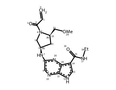 C=CC(=O)N1C[C@H](Nc2cnc3[nH]cc(C(=O)NCC)c3n2)C[C@@H]1COC